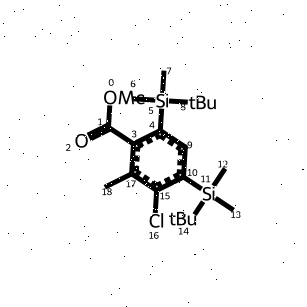 COC(=O)c1c([Si](C)(C)C(C)(C)C)cc([Si](C)(C)C(C)(C)C)c(Cl)c1C